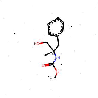 CC(C)(C)OC(=O)N[C@](C)(CO)Cc1ccccc1